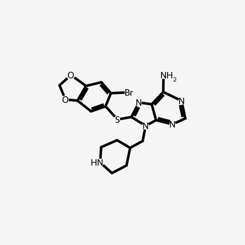 Nc1ncnc2c1nc(Sc1cc3c(cc1Br)OCO3)n2CC1CCNCC1